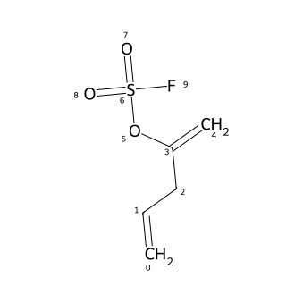 C=CCC(=C)OS(=O)(=O)F